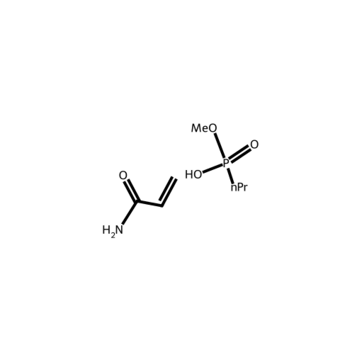 C=CC(N)=O.CCCP(=O)(O)OC